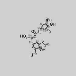 C=CCc1cc(CC(OC(=O)CCc2cc(C)c(O)c(C(C)(C)C)c2)C(=O)O)cc(CC=C)c1O